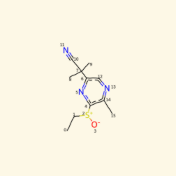 CC[S+]([O-])c1nc(C(C)(C)C#N)cnc1C